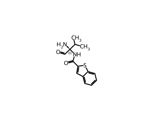 CC(C)[C@@](N)(C=O)NC(=O)c1cc2ccccc2s1